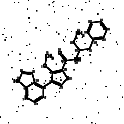 COc1c(-c2ccnc3[nH]ccc23)csc1C(=O)NC(CN)Cc1ccccc1